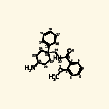 COc1ccccc1C(=O)NC[C@]1(c2ccccc2)CC[C@@H](N)CC1